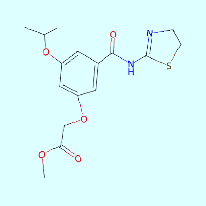 COC(=O)COc1cc(OC(C)C)cc(C(=O)NC2=NCCS2)c1